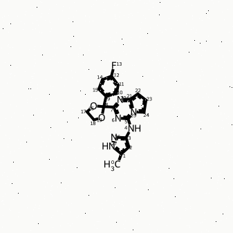 Cc1cc(Nc2nc(C3(c4ccc(F)cc4)OCCO3)nc3cccn23)n[nH]1